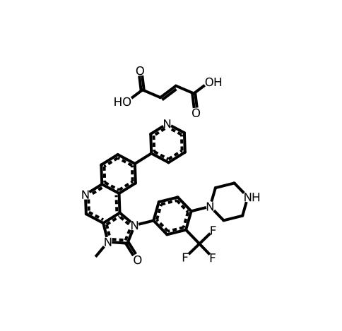 Cn1c(=O)n(-c2ccc(N3CCNCC3)c(C(F)(F)F)c2)c2c3cc(-c4cccnc4)ccc3ncc21.O=C(O)C=CC(=O)O